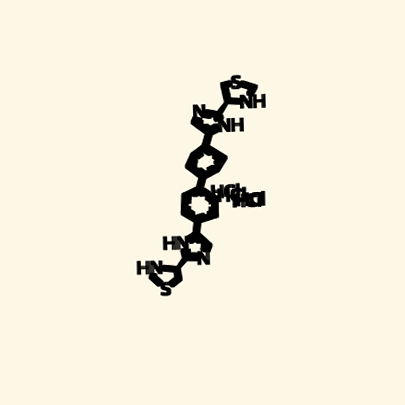 Cl.Cl.Cl.Cl.c1cc(-c2cnc([C@H]3CSCN3)[nH]2)ccc1-c1ccc(-c2cnc([C@H]3CSCN3)[nH]2)cc1